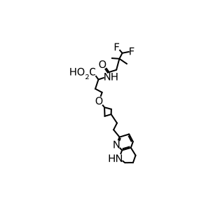 CC(C)(CC(=O)NC(CCOC1CC(CCc2ccc3c(n2)NCCC3)C1)C(=O)O)C(F)F